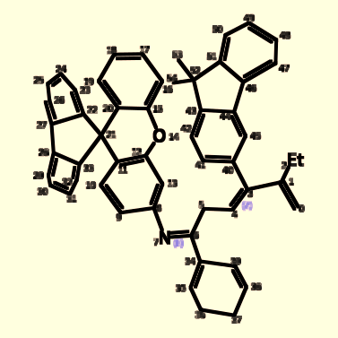 C=C(CC)/C(=C/C/C(=N\c1ccc2c(c1)Oc1ccccc1C21c2ccccc2-c2ccccc21)C1=CCCC=C1)c1ccc2c(c1)-c1ccccc1C2(C)C